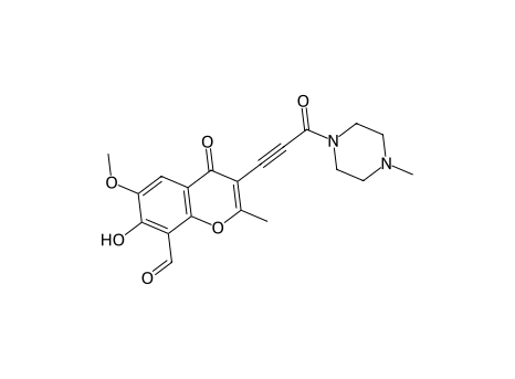 COc1cc2c(=O)c(C#CC(=O)N3CCN(C)CC3)c(C)oc2c(C=O)c1O